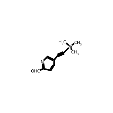 C[Si](C)(C)C#Cc1ccc(C=O)nc1